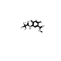 COC(=O)c1cc(NC(=O)C(F)(F)F)c(I)cc1C